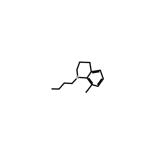 CCCCN1CCCc2cccc(C)c21